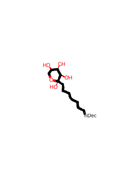 CCCCCCCCCCCCCCCCC[C@@]1(O)OC[C@@H](O)[C@H](O)[C@H]1O